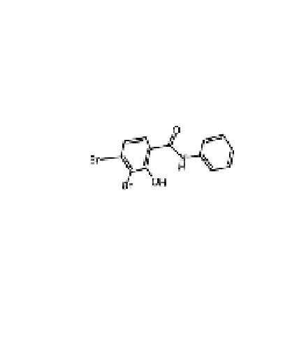 O=C(Nc1ccccc1)c1ccc(Br)c(Br)c1O